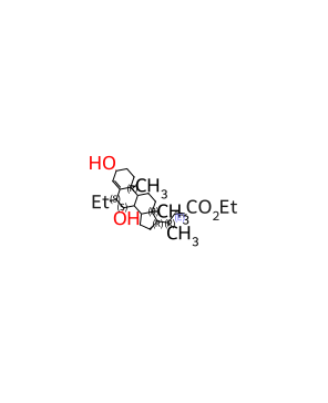 CCOC(=O)/C=C/[C@@H](C)[C@H]1CCC2C3C(CC[C@@]21C)[C@@]1(C)CCC(O)C=C1[C@H](CC)[C@H]3O